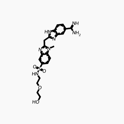 Cn1c(Cc2nc3cc(C(=N)N)ccc3[nH]2)nc2cc(S(=O)(=O)NCCOCCO)ccc21